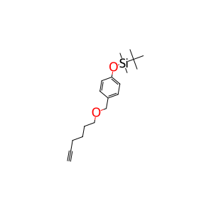 C#CCCCCOCc1ccc(O[Si](C)(C)C(C)(C)C)cc1